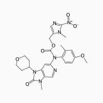 COc1ccc(N(C(=O)OCc2cnc([N+](=O)[O-])n2C)c2cc3c(cn2)n(C)c(=O)n3C2CCOCC2)c(C)c1